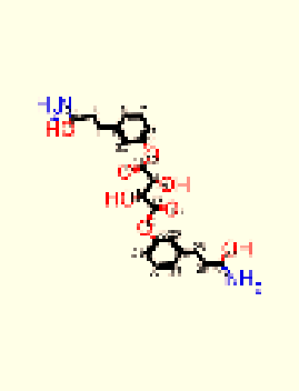 NC(O)CCc1cccc(OC(=O)C(O)C(O)C(=O)Oc2cccc(CCC(N)O)c2)c1